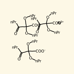 CCCOC(OCCC)(C(=O)[O-])C(=O)CCC.CCCOC(OCCC)(C(=O)[O-])C(=O)CCC.CCCOC(OCCC)(C(=O)[O-])C(=O)CCC.[Al+3]